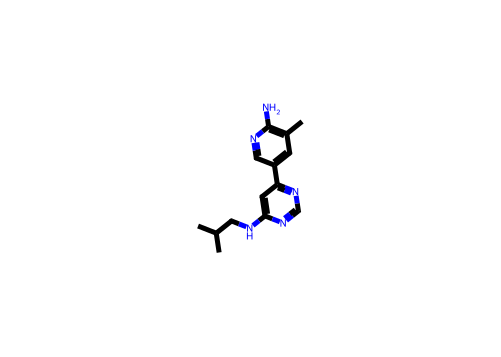 Cc1cc(-c2cc(NCC(C)C)ncn2)cnc1N